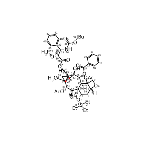 CC[Si](CC)(CC)O[C@H]1C[C@H]2OC[C@@]2(OC(C)=O)[C@H]2[C@H](OC(=O)c3ccccc3)[C@]3(O)C[C@H](OC(=O)[C@H](OP)[C@@H](NC(=O)OC(C)(C)C)c4ccccc4)C(C)C4(CC43C)[C@@H](OC(C)=O)[C@H](O)[C@]12C